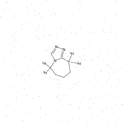 [2H]C1([2H])CCCC([2H])([2H])n2cnnc21